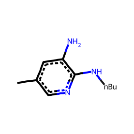 CCCCNc1ncc(C)cc1N